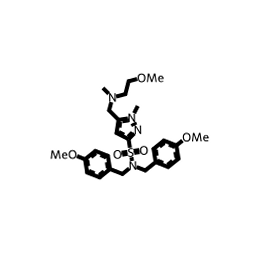 COCCN(C)Cc1cc(S(=O)(=O)N(Cc2ccc(OC)cc2)Cc2ccc(OC)cc2)nn1C